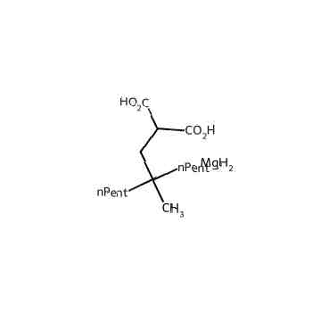 CCCCCC(C)(CCCCC)CC(C(=O)O)C(=O)O.[MgH2]